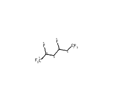 FC([CH]C(F)C(F)(F)F)CC(F)(F)F